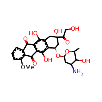 COc1cccc2c1C(=O)c1c(O)c3c(c(O)c1C2=O)C[C@@](O)(C(=O)CO)C[C@@H]3O[C@@H]1CC(N)C(O)C(C)O1